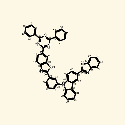 c1ccc(-c2nc(-c3ccccc3)nc(-c3ccc4nc(-c5cccc(-n6c7ccccc7c7cc(-c8nc9ccccc9s8)ccc76)c5)sc4c3)n2)cc1